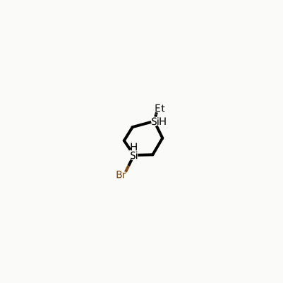 CC[SiH]1CC[SiH](Br)CC1